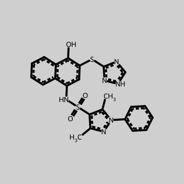 Cc1nn(-c2ccccc2)c(C)c1S(=O)(=O)Nc1cc(Sc2nc[nH]n2)c(O)c2ccccc12